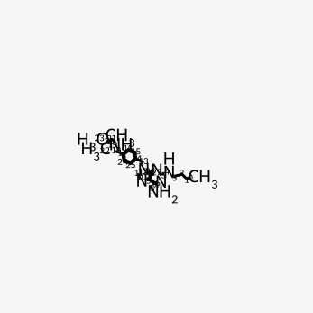 CCCCNc1nc(N)c2ncn(Cc3ccc(CNC(C)(C)C)cc3)c2n1